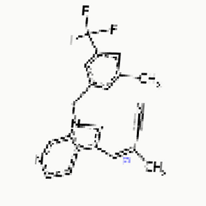 C/C(C#N)=C/c1cn(Cc2cc(C)cc(C(F)(F)F)c2)c2cnccc12